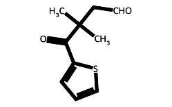 CC(C)(CC=O)C(=O)c1cccs1